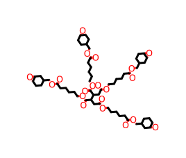 O=C(CCCCCOC(=O)CC(C(=O)OCCCCCC(=O)OCC1CCC2OC2C1)C(CC(=O)OCCCCCC(=O)OCC1CCC2OC2C1)C(=O)OCCCCCC(=O)OCC1CCC2OC2C1)OCC1CCC2OC2C1